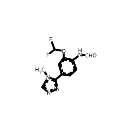 Cn1cnnc1-c1ccc(NC=O)c(OC(F)F)c1